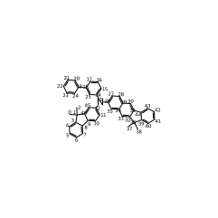 CC1(C)c2ccccc2-c2ccc(N(c3cccc(-c4ccccc4)c3)c3ccc4cc5c(cc4c3)C(C)(C)c3ccccc3-5)cc21